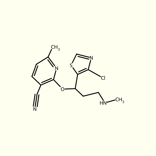 CNCCC(Oc1nc(C)ccc1C#N)c1scnc1Cl